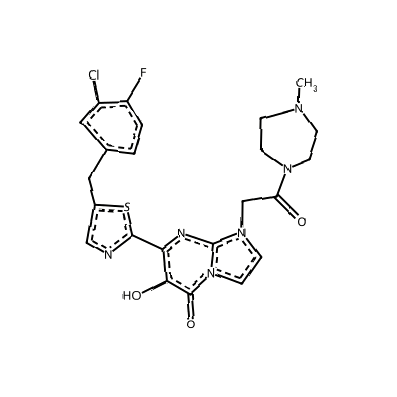 CN1CCN(C(=O)Cn2ccn3c(=O)c(O)c(-c4ncc(Cc5ccc(F)c(Cl)c5)s4)nc23)CC1